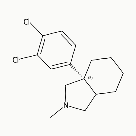 CN1CC2CCCC[C@]2(c2ccc(Cl)c(Cl)c2)C1